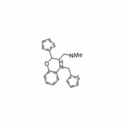 CNCCC(Oc1ccccc1NCc1cccs1)c1cccs1